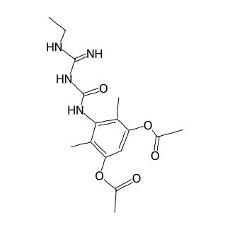 CCNC(=N)NC(=O)Nc1c(C)c(OC(C)=O)cc(OC(C)=O)c1C